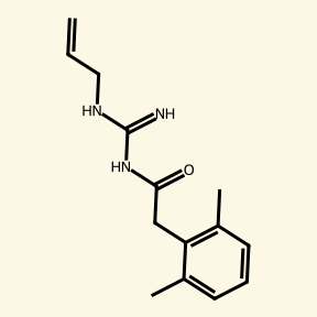 C=CCNC(=N)NC(=O)Cc1c(C)cccc1C